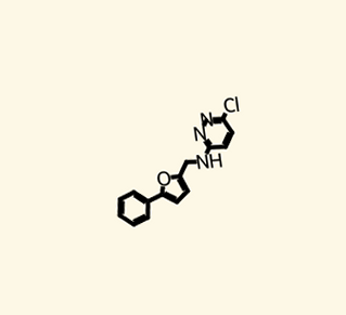 Clc1ccc(NCc2ccc(-c3ccccc3)o2)nn1